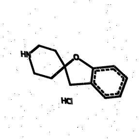 Cl.c1ccc2c(c1)CC1(CCNCC1)O2